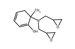 CC1(N(CC2CO2)CC2CO2)CC=CC=C1O